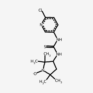 CC1(C)CC(NC(=S)Nc2ccc(Cl)nc2)C(C)(C)N1[O]